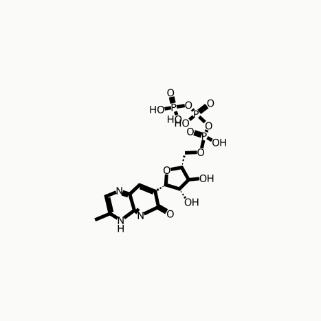 Cc1cnc2cc([C@@H]3O[C@H](COP(=O)(O)OP(=O)(O)OP(=O)(O)O)C(O)[C@@H]3O)c(=O)nc-2[nH]1